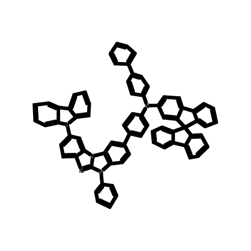 c1ccc(-c2ccc(N(c3ccc(-c4ccc5c(c4)n4c6cc(-n7c8ccccc8c8ccccc87)ccc6nc4n5-c4ccccc4)cc3)c3ccc4c(c3)C3(c5ccccc5-c5ccccc53)c3ccccc3-4)cc2)cc1